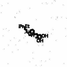 C=C1/C(=C\C=C2/CCC[C@]3(C)[C@@H]([C@H](C)CC[C@H](CC)C(C)C)CC[C@@H]23)C[C@@H](O)C[C@@H]1O